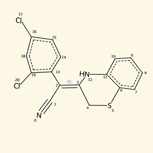 N#C/C(=C1\CSc2ccccc2N1)c1ccc(Cl)cc1Cl